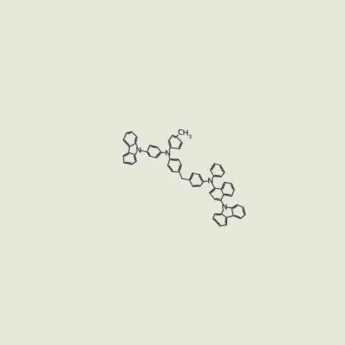 Cc1ccc(N(c2ccc(Cc3ccc(N(c4ccccc4)c4ccc(-n5c6ccccc6c6ccccc65)c5ccccc45)cc3)cc2)c2ccc(-n3c4ccccc4c4ccccc43)cc2)cc1